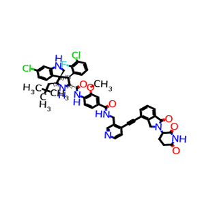 COc1cc(C(=O)NCc2cnccc2C#Cc2cccc3c2CN(C2CCC(=O)NC2=O)C3=O)ccc1NC(=O)[C@@H]1N[C@@H](CC(C)(C)C)[C@@]2(CNc3cc(Cl)ccc32)[C@H]1c1cccc(Cl)c1F